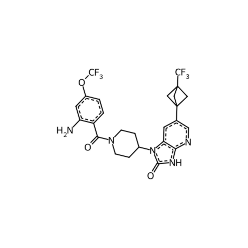 Nc1cc(OC(F)(F)F)ccc1C(=O)N1CCC(n2c(=O)[nH]c3ncc(C45CC(C(F)(F)F)(C4)C5)cc32)CC1